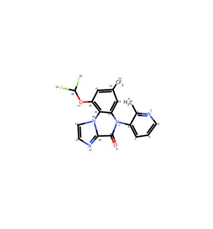 Cc1ncccc1-n1c(=O)c2nccn2c2c(OC(F)F)cc(C(F)(F)F)cc21